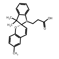 Cc1ccc2c(c1)C=C[C@]1(O2)N(CCC(=O)O)c2ccccc2C1(C)C